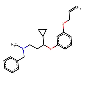 C=CCOc1cccc(OC(CCN(C)Cc2ccccc2)C2CC2)c1